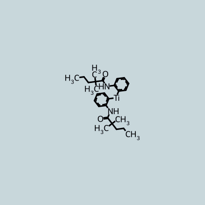 CCCC(C)(C)C(=O)Nc1cccc[c]1[Ti][c]1ccccc1NC(=O)C(C)(C)CCC